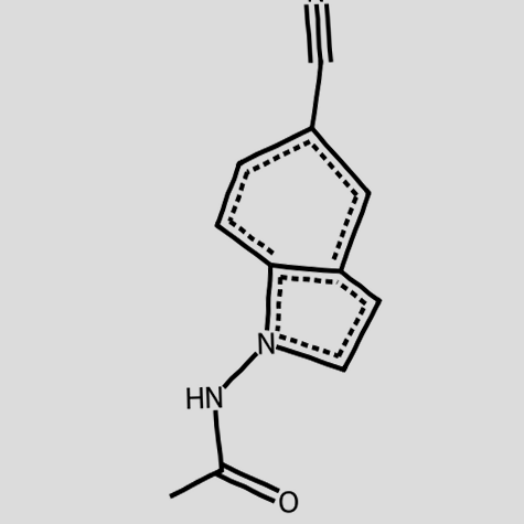 CC(=O)Nn1ccc2cc(C#N)ccc21